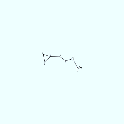 [CH2]CCOCCC1CC1